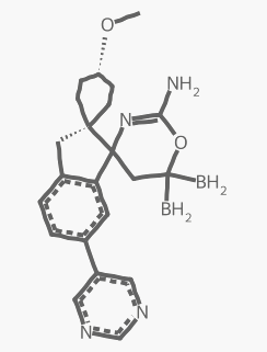 BC1(B)CC2(N=C(N)O1)c1cc(-c3cncnc3)ccc1C[C@]21CC[C@@H](OC)CC1